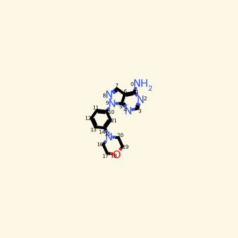 Nc1ncnc2c1cnn2-c1cccc(N2CCOCC2)c1